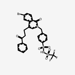 O=C(CCc1cn(Cc2ccc(S(=O)(=O)NS(=O)(=O)C(F)(F)F)cc2)c(=O)c2ccc(Br)cc12)c1ccccc1